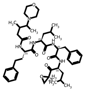 CC(C)C[C@H](NC(=O)[C@H](CCc1ccccc1)NC(=O)CC(C)C(C)N1CCOCC1)C(=O)N[C@@H](Cc1ccccc1)C(=O)N[C@@H](CC(C)C)C(=O)[C@@]1(C)CO1